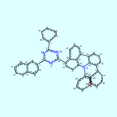 c1ccc(-c2nc(-c3ccc4ccccc4c3)nc(-c3ccc4c5c(cccc35)-c3cccc(-c5ccccc5)c3N4c3ccccc3)n2)cc1